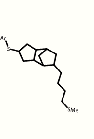 CSCCCCC1CC2CC1C1CC(SC(C)=O)CC21